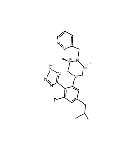 CC(C)Cc1cc(F)c(-c2nn[nH]n2)c(N2C[C@@H](C)N(Cc3cccnn3)[C@H](C)C2)c1